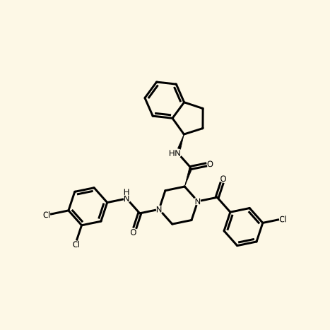 O=C(N[C@@H]1CCc2ccccc21)[C@@H]1CN(C(=O)Nc2ccc(Cl)c(Cl)c2)CCN1C(=O)c1cccc(Cl)c1